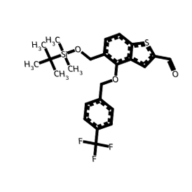 CC(C)(C)[Si](C)(C)OCc1ccc2sc(C=O)cc2c1OCc1ccc(C(F)(F)F)cc1